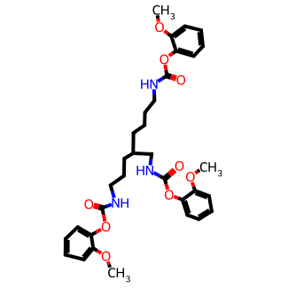 COc1ccccc1OC(=O)NCCCCC(CCCNC(=O)Oc1ccccc1OC)CNC(=O)Oc1ccccc1OC